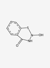 O=C1NN(O)Sc2ccccc21